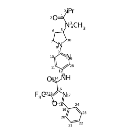 CC(C)C(=O)N(C)C1CCN(c2ccc(NC(=O)c3nc(-c4ccccc4)oc3C(F)(F)F)cn2)C1